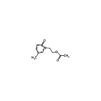 CC(=O)OCCn1cc(C)ccc1=O